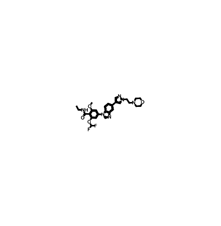 CCNC(=O)c1c(OC)cc(-n2cnc3cc(-c4cnn(CCN5CCOCC5)c4)ccc32)cc1OC(F)F